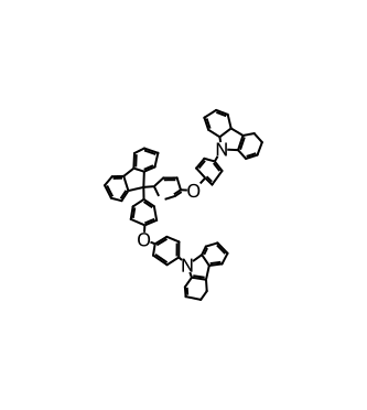 C/C=C(\C=C/C(C)C1(c2ccc(Oc3ccc(-n4c5c(c6ccccc64)CCC=C5)cc3)cc2)c2ccccc2-c2ccccc21)Oc1ccc(N2C3=C(CCC=C3)C3C=CC=CC32)cc1